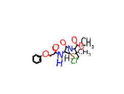 COC(=O)C1N2C(=O)C(NC(=O)COc3ccccc3)[C@@H]2SC1(C)CCl